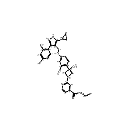 O=NOC(=O)c1ccnc(N2CC(O)(c3ccc(OCc4c(-c5ccc(F)cc5F)noc4C4CC4)cc3Cl)C2)c1